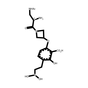 CC(=O)NC[C@@H](N)C(=O)N1CC(Oc2ccc(CCB(O)O)c(O)c2C(=O)O)C1